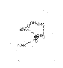 CCCCCCCCCCCCCCCCCC(=O)OCC(COC(=O)CCCCCCCCCCCCCCCCC)OC(=O)CCCCCCCCCCCCCCCCC.OCCOCCO